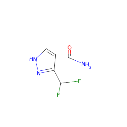 FC(F)c1cc[nH]n1.NC=O